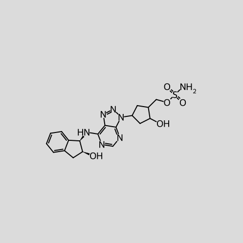 NS(=O)(=O)OCC1CC(n2nnc3c(N[C@@H]4c5ccccc5C[C@@H]4O)ncnc32)CC1O